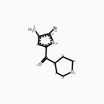 Cc1cc(C(=O)C2CCOCC2)sc1Br